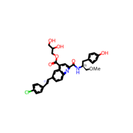 COC[C@H](Cc1ccc(O)cc1)NC(=O)c1cc(C(=O)OCC(O)CO)c2cc(/C=C/c3ccc(Cl)cc3)ccc2n1